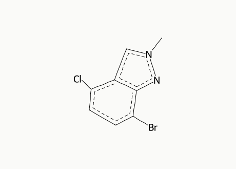 Cn1cc2c(Cl)ccc(Br)c2n1